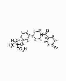 CC(C)(Oc1cccc(C2CCN(C(=O)c3ccc(Br)cc3)CC2)c1)C(=O)O